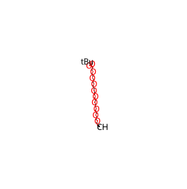 C#CCOCCOCCOCCOCCOCCOCCOCCOCCOCCC(=O)OC(C)(C)C